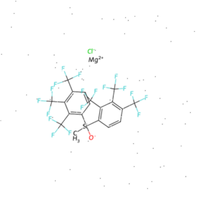 C[Si]([O-])(c1ccc(C(F)(F)F)c(C(F)(F)F)c1C(F)(F)F)c1ccc(C(F)(F)F)c(C(F)(F)F)c1C(F)(F)F.[Cl-].[Mg+2]